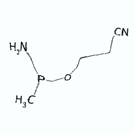 CP(N)OCCC#N